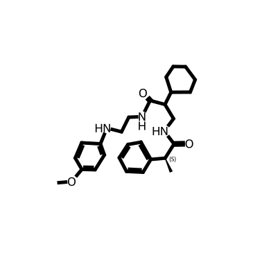 COc1ccc(NCCNC(=O)C(CNC(=O)[C@@H](C)c2ccccc2)C2CCCCC2)cc1